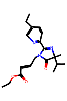 CCOC(=O)C=CCN1C(=O)C(C)(C(C)C)N=C1c1ccc(CC)cn1